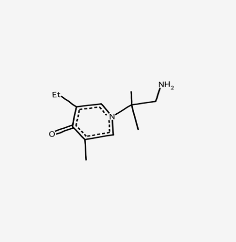 CCc1cn(C(C)(C)CN)cc(C)c1=O